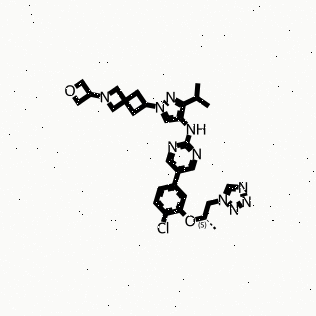 CC(C)c1nn(C2CC3(C2)CN(C2COC2)C3)cc1Nc1ncc(-c2ccc(Cl)c(O[C@@H](C)Cn3cnnn3)c2)cn1